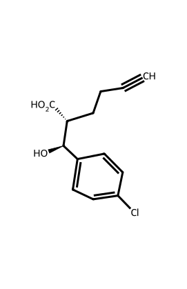 C#CCC[C@@H](C(=O)O)[C@H](O)c1ccc(Cl)cc1